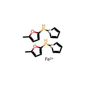 Cc1ccc(P[c-]2cccc2)o1.Cc1ccc(P[c-]2cccc2)o1.[Fe+2]